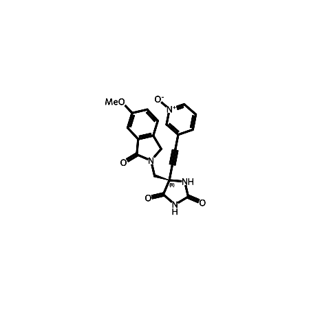 COc1ccc2c(c1)C(=O)N(C[C@@]1(C#Cc3ccc[n+]([O-])c3)NC(=O)NC1=O)C2